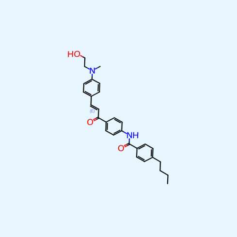 CCCCc1ccc(C(=O)Nc2ccc(C(=O)/C=C/c3ccc(N(C)CCO)cc3)cc2)cc1